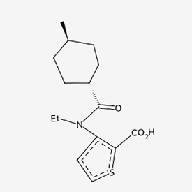 CCN(c1ccsc1C(=O)O)C(=O)[C@H]1CC[C@H](C)CC1